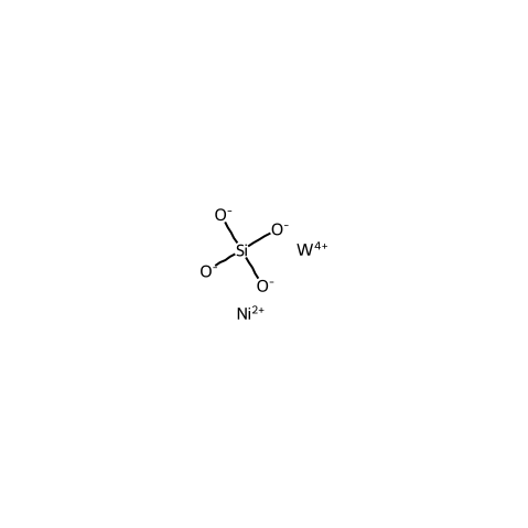 [Ni+2].[O-][Si]([O-])([O-])[O-].[W+4]